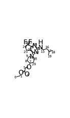 CCOC(=O)COC1CCN(c2nc(NCCC(C)C)nc3c2CCC3(F)F)CC1